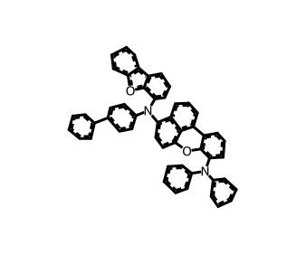 c1ccc(-c2ccc(N(c3ccc4c5c(cccc35)-c3cccc(N(c5ccccc5)c5ccccc5)c3O4)c3cccc4c3oc3ccccc34)cc2)cc1